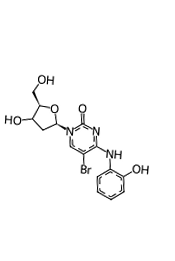 O=c1nc(Nc2ccccc2O)c(Br)cn1[C@H]1CC(O)[C@@H](CO)O1